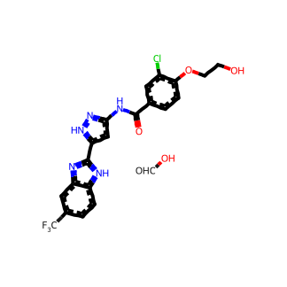 O=C(Nc1cc(-c2nc3cc(C(F)(F)F)ccc3[nH]2)[nH]n1)c1ccc(OCCO)c(Cl)c1.O=CO